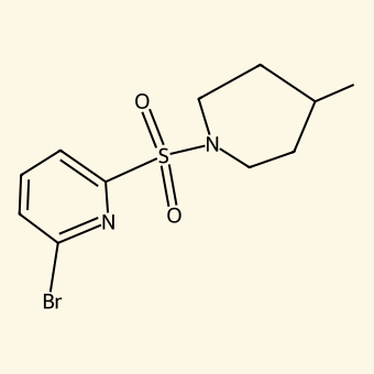 CC1CCN(S(=O)(=O)c2cccc(Br)n2)CC1